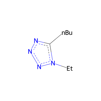 CCCCc1nnnn1CC